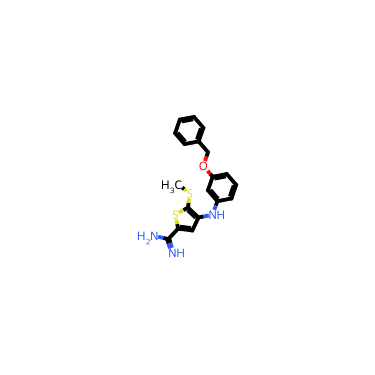 CSc1sc(C(=N)N)cc1Nc1cccc(OCc2ccccc2)c1